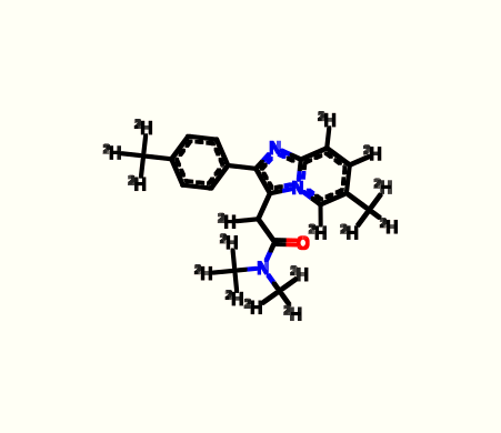 [2H]c1c(C([2H])([2H])[2H])c([2H])n2c(C([2H])C(=O)N(C([2H])([2H])[2H])C([2H])([2H])[2H])c(-c3ccc(C([2H])([2H])[2H])cc3)nc2c1[2H]